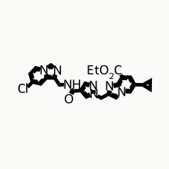 CCOC(=O)c1cc(C2CC2)cn2cc(Cn3cc(C(=O)NCc4ncn5ccc(Cl)cc45)cn3)nc12